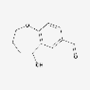 O=Cc1ccc2c(c1)C(O)CCCO2